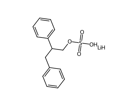 O=S(=O)(O)OCC(Cc1ccccc1)c1ccccc1.[LiH]